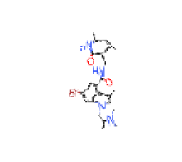 Cc1cc(C)c(CNC(=O)c2cc(Br)cc3c2c(C)cn3CC(C)N(C)C)c(=O)[nH]1